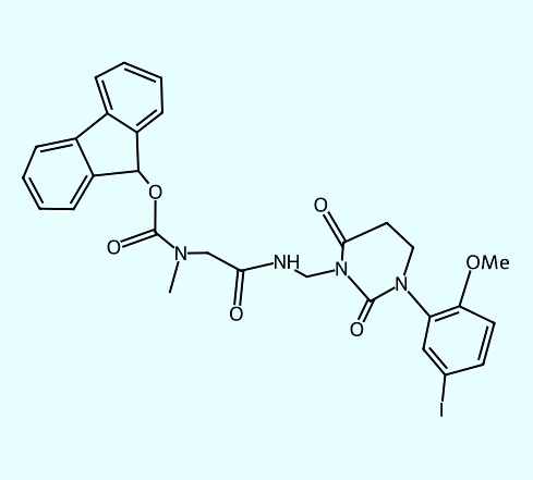 COc1ccc(I)cc1N1CCC(=O)N(CNC(=O)CN(C)C(=O)OC2c3ccccc3-c3ccccc32)C1=O